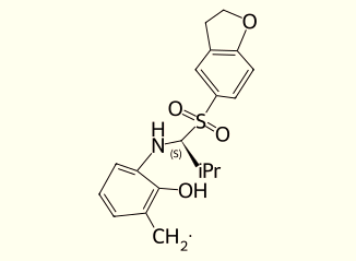 [CH2]c1cccc(N[C@H](C(C)C)S(=O)(=O)c2ccc3c(c2)CCO3)c1O